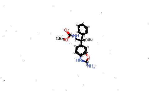 CCCCC(CNC(=O)OC(C)(C)C)(c1ccccc1)c1ccc2c(c1)OC(N)N2